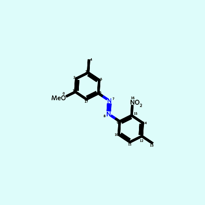 COc1cc(C)cc(/N=N/c2ccc(C)cc2[N+](=O)[O-])c1